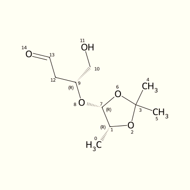 C[C@H]1OC(C)(C)O[C@H]1O[C@@H](CO)CC=O